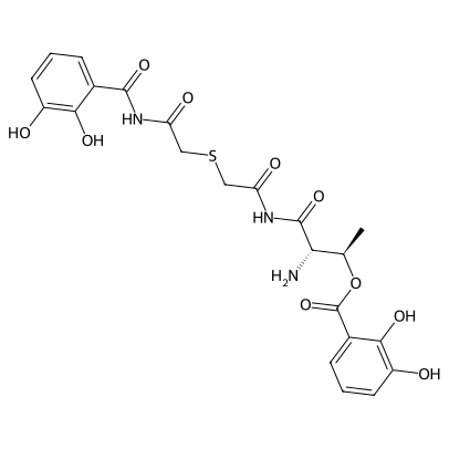 C[C@@H](OC(=O)c1cccc(O)c1O)[C@H](N)C(=O)NC(=O)CSCC(=O)NC(=O)c1cccc(O)c1O